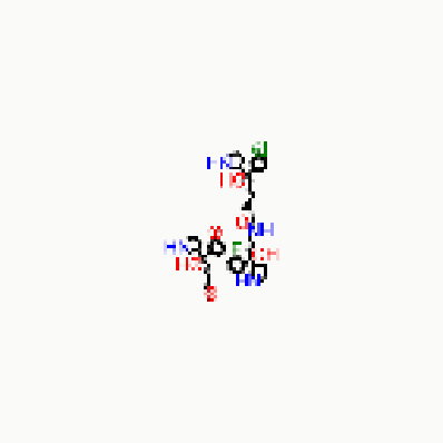 CC(=O)NCCCC(O)(c1ccccc1F)C1CCCNC1.COCCCC[C@@](O)(c1cccc(OC)c1)C1CCCNC1.O[C@](CCCC1CC1)(c1cccc(Cl)c1)C1CCCNC1